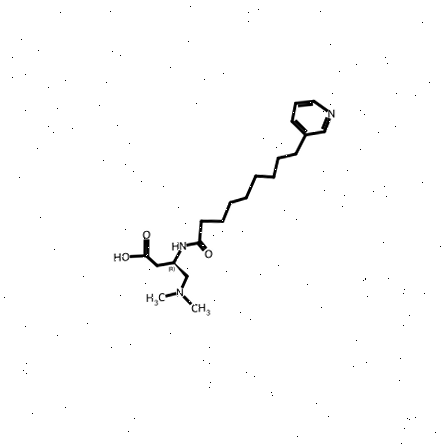 CN(C)C[C@@H](CC(=O)O)NC(=O)CCCCCCCCc1cccnc1